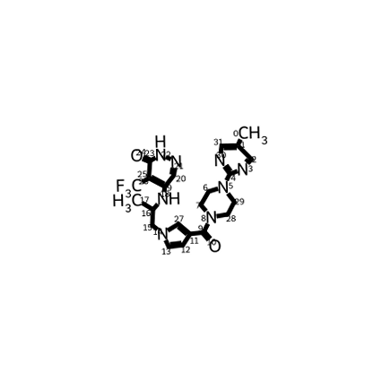 Cc1cnc(N2CCN(C(=O)c3ccn(CC(C)Nc4cn[nH]c(=O)c4C(F)(F)F)c3)CC2)nc1